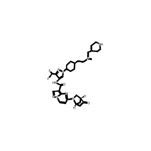 CN(CCC1CCC(n2cc(NC(=O)c3cnn4ccc(N5C[C@H]6C[C@@H]5CC6=O)nc34)c(C(F)F)n2)CC1)CC1CCNCC1